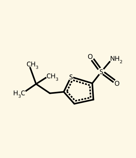 CC(C)(C)Cc1ccc(S(N)(=O)=O)s1